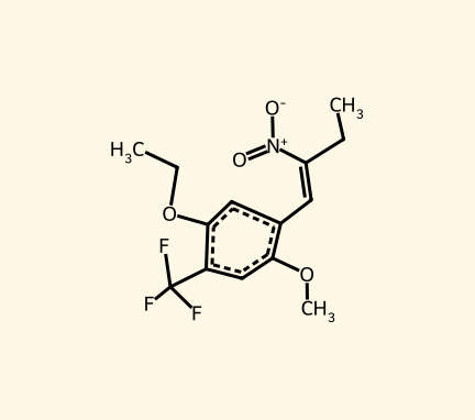 CCOc1cc(C=C(CC)[N+](=O)[O-])c(OC)cc1C(F)(F)F